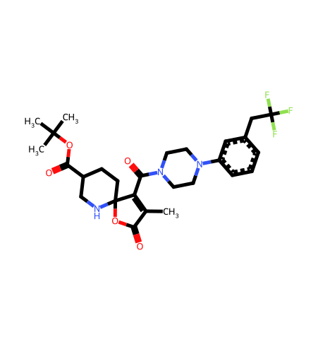 CC1=C(C(=O)N2CCN(c3cccc(CC(F)(F)F)c3)CC2)C2(CCC(C(=O)OC(C)(C)C)CN2)OC1=O